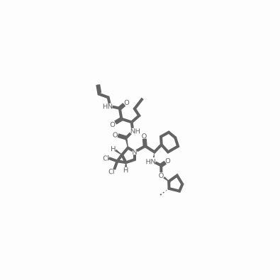 C=CCNC(=O)C(=O)C(CCC)NC(=O)[C@@H]1[C@@H]2[C@H](CN1C(=O)[C@@H](NC(=O)O[C@H]1CCC[C@@H]1C)C1CCCCC1)C2(Cl)Cl